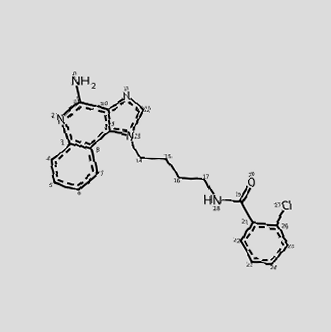 Nc1nc2ccccc2c2c1ncn2CCCCNC(=O)c1ccccc1Cl